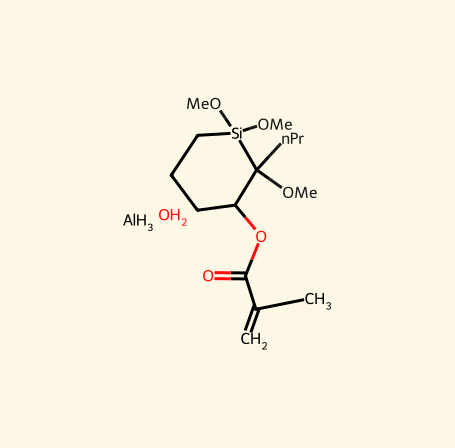 C=C(C)C(=O)OC1CCC[Si](OC)(OC)C1(CCC)OC.O.[AlH3]